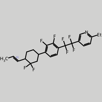 C/C=C/C1CCC(c2ccc(C(F)(F)C(F)(F)c3ccc(CC)nc3)c(F)c2F)CC1(F)F